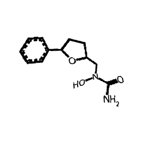 NC(=O)N(O)CC1CCC(c2ccccc2)O1